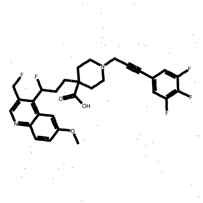 COc1ccc2ncc(CF)c(C(F)CCC3(C(=O)O)CCN(CC#Cc4cc(F)c(F)c(F)c4)CC3)c2c1